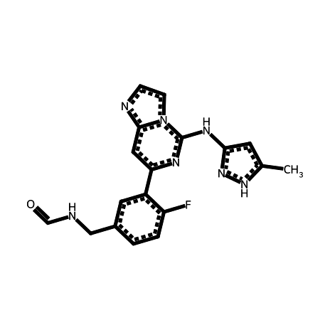 Cc1cc(Nc2nc(-c3cc(CNC=O)ccc3F)cc3nccn23)n[nH]1